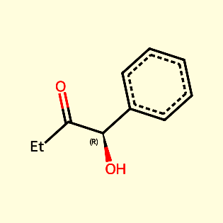 CCC(=O)[C@H](O)c1ccccc1